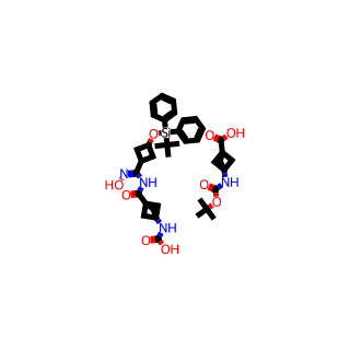 CC(C)(C)OC(=O)NC12CC(C(=O)O)(C1)C2.CC(C)(C)[Si](OC1CC(/C(=N/O)NC(=O)C23CC(NC(=O)O)(C2)C3)C1)(c1ccccc1)c1ccccc1